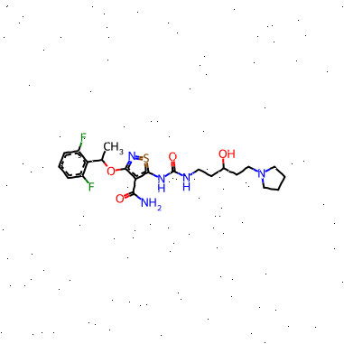 CC(Oc1nsc(NC(=O)NCCC(O)CCN2CCCC2)c1C(N)=O)c1c(F)cccc1F